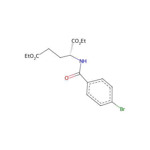 CCOC(=O)CC[C@@H](NC(=O)c1ccc(Br)cc1)C(=O)OCC